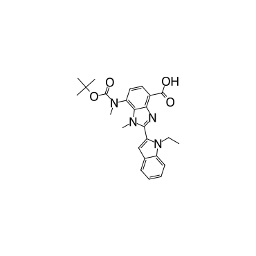 CCn1c(-c2nc3c(C(=O)O)ccc(N(C)C(=O)OC(C)(C)C)c3n2C)cc2ccccc21